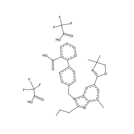 CCCc1nc2c(C)cc(C3=NC(C)(C)CO3)cc2n1Cc1ccc(-c2ccccc2C(=O)O)cc1.O=C(O)C(F)(F)F.O=C(O)C(F)(F)F